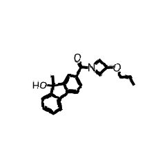 CCCOC1CN(C(=O)c2ccc3c(c2)C(C)(O)c2ccccc2-3)C1